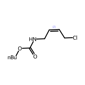 CCCCOC(=O)NC/C=C\CCl